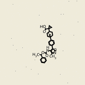 Cc1noc(-c2ccc(C34CCC(C5(C(=O)O)CC5)(CC3)CC4)cc2)c1NC(=O)OC(C)c1ccccc1